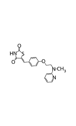 CN(CCOc1ccc(/C=C2\SC(=O)NC2=O)cc1)c1ccccn1